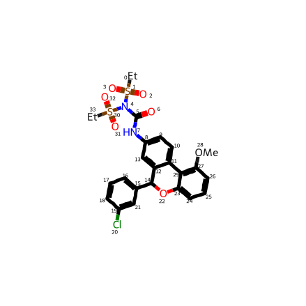 CCS(=O)(=O)N(C(=O)Nc1ccc2c(c1)C(c1cccc(Cl)c1)Oc1cccc(OC)c1-2)S(=O)(=O)CC